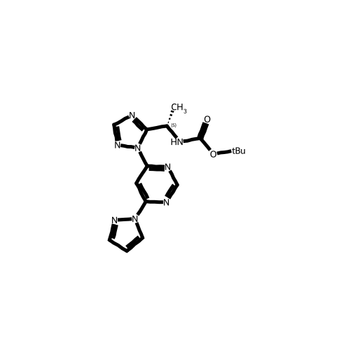 C[C@H](NC(=O)OC(C)(C)C)c1ncnn1-c1cc(-n2cccn2)ncn1